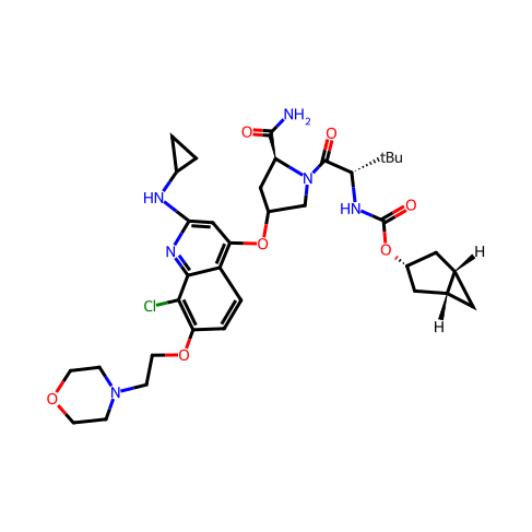 CC(C)(C)[C@H](NC(=O)O[C@@H]1C[C@@H]2C[C@@H]2C1)C(=O)N1CC(Oc2cc(NC3CC3)nc3c(Cl)c(OCCN4CCOCC4)ccc23)C[C@H]1C(N)=O